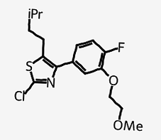 COCCOc1cc(-c2nc(Cl)sc2CCC(C)C)ccc1F